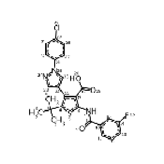 CC(C)(C)c1sc(NC(=O)c2cccc(F)c2)c(C(=O)O)c1-c1cnn(-c2ccc(Cl)cc2)c1